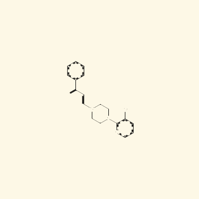 O=C(C=CN1CCN(c2ncccc2[N+](=O)[O-])CC1)c1ccccc1